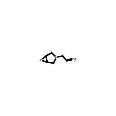 C=CCN1CC2OC2C1